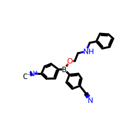 [C-]#[N+]c1ccc(B(OCCNCc2ccccc2)c2ccc(C#N)cc2)cc1